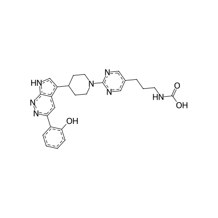 O=C(O)NCCCc1cnc(N2CCC(c3c[nH]c4nnc(-c5ccccc5O)cc34)CC2)nc1